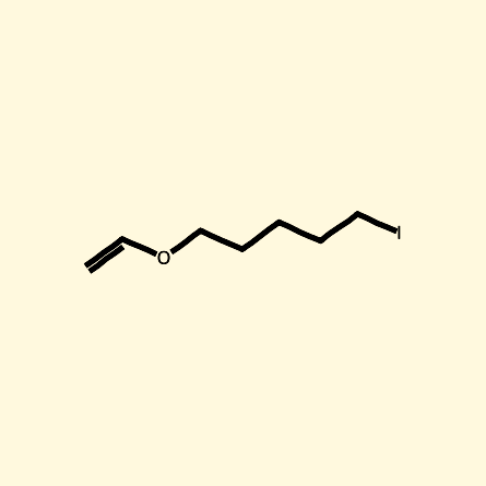 C=COCCCCCI